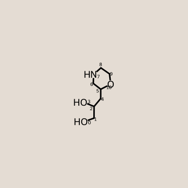 OCC(O)CC1CNCCO1